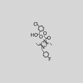 CC[C@H]1CN(C(=O)COc2ccc(Cl)cc2C(=O)O)[C@H](CC)CN1Cc1ccc(F)cc1